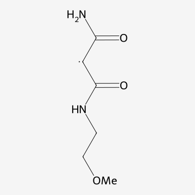 COCCNC(=O)[CH]C(N)=O